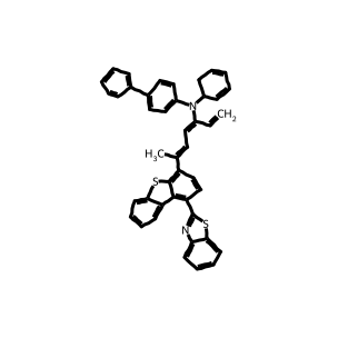 C=C/C(=C\C=C(/C)c1ccc(-c2nc3ccccc3s2)c2c1sc1ccccc12)N(c1ccc(-c2ccccc2)cc1)C1C=CC=CC1